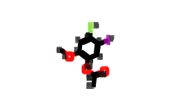 COc1cc(F)c(I)cc1OC(C)=O